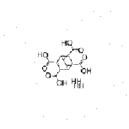 O=C(O)C1C2CCC(C1C(=O)O)C(C(=O)O)C2C(=O)O.[HH].[HH]